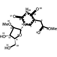 COC(=O)Cc1cn([C@@H]2O[C@H](CO)[C@H](O)C2OC)c(=O)[nH]c1=O